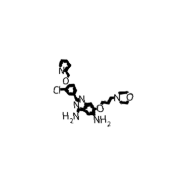 Nc1cc2c(N)nc(-c3ccc(OCc4ccccn4)c(Cl)c3)nc2cc1OCCCN1CCOCC1